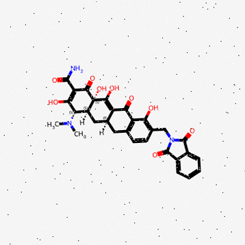 CN(C)[C@@H]1C(O)=C(C(N)=O)C(=O)[C@@]2(O)C(O)=C3C(=O)c4c(ccc(CN5C(=O)c6ccccc6C5=O)c4O)C[C@H]3C[C@@H]12